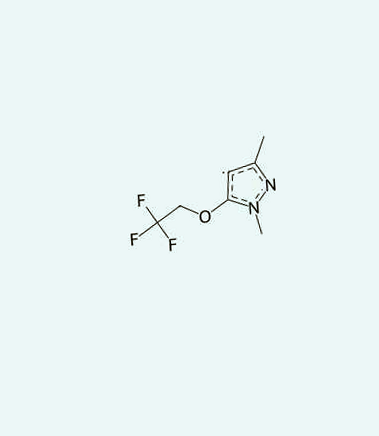 Cc1[c]c(OCC(F)(F)F)n(C)n1